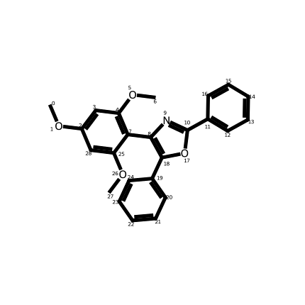 COc1cc(OC)c(-c2nc(-c3ccccc3)oc2-c2ccccc2)c(OC)c1